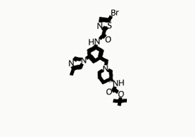 Cc1cn(-c2cc(CN3CCC[C@H](NC(=O)OC(C)(C)C)C3)cc(NC(=O)c3ncc(Br)s3)c2)cn1